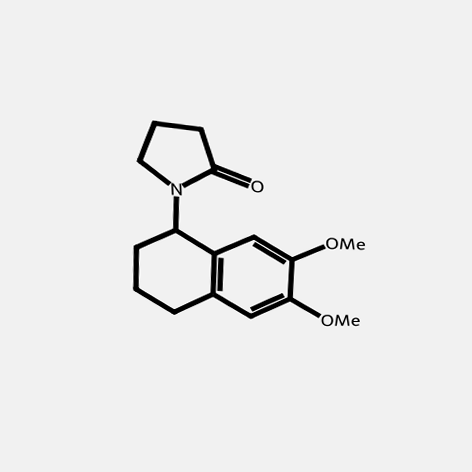 COc1cc2c(cc1OC)C(N1CCCC1=O)CCC2